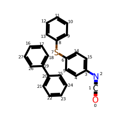 O=C=Nc1ccc(Sc2ccccc2)cc1.c1ccc(-c2ccccc2)cc1